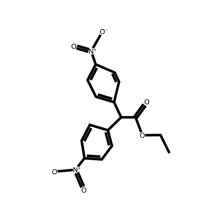 CCOC(=O)C(c1ccc([N+](=O)[O-])cc1)c1ccc([N+](=O)[O-])cc1